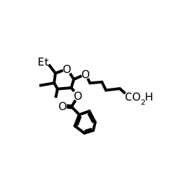 CCC1OC(OCCCCC(=O)O)C(OC(=O)c2ccccc2)C(C)C1C